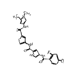 Cc1cc(NC(=O)c2cc(NC(=O)c3cc(NC(=O)c4ccc(Cl)cc4F)c[nH]3)cs2)cn1C